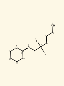 OCCCC(F)(F)CO[C@H]1CCCCO1